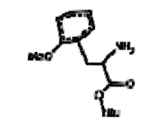 COc1ccccc1CC(N)C(=O)OC(C)(C)C